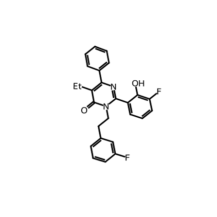 CCc1c(-c2ccccc2)nc(-c2cccc(F)c2O)n(CCc2cccc(F)c2)c1=O